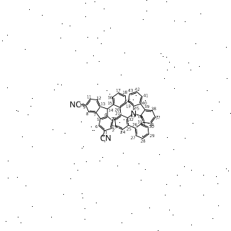 N#Cc1ccc2c(c1)-c1cc(C#N)ccc1C2c1ccccc1-c1cccc(-c2ccccc2)c1-n1c2ccccc2c2ccccc21